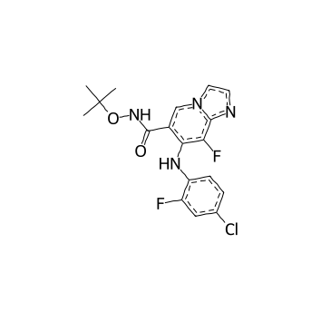 CC(C)(C)ONC(=O)c1cn2ccnc2c(F)c1Nc1ccc(Cl)cc1F